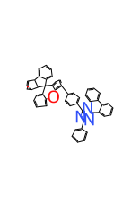 C1=CC2c3ccccc3C3(c4ccccc4Oc4c(-c5ccc(-c6nc(-c7ccccc7)nc(-c7ccccc7-c7ccccc7)n6)cc5)cccc43)C2C=C1